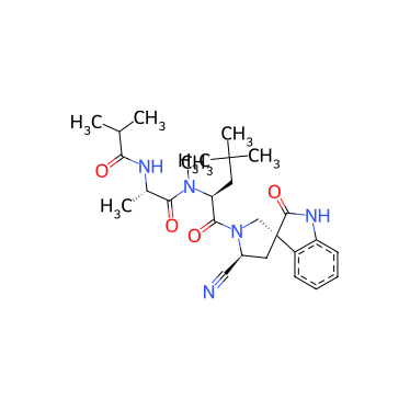 CC(C)C(=O)N[C@@H](C)C(=O)N(C)[C@@H](CC(C)(C)C)C(=O)N1C[C@]2(C[C@H]1C#N)C(=O)Nc1ccccc12